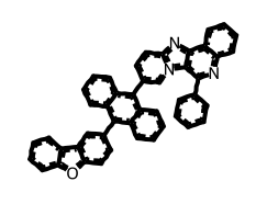 c1ccc(-c2nc3ccccc3c3nc4ccc(-c5c6ccccc6c(-c6ccc7oc8ccccc8c7c6)c6ccccc56)cn4c23)cc1